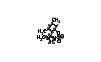 Cc1cc(C)c2c(c1)OS(=O)(=O)n1cc[n+](C)c1-2